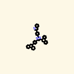 C1=CC2C=C(c3ccc(-c4cc(C5Cc6ccccc6-c6ccccc65)nc(-c5ccc(-c6cnc7ccccc7c6)cc5)n4)cc3)C3=C(C=CCC3)C2C=C1